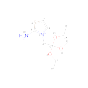 CCOC(C[n+]1ccsc1N)(OC)OCC